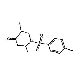 Cc1ccc(S(=O)(=O)N2CC(Br)C(=O)CC2C)cc1